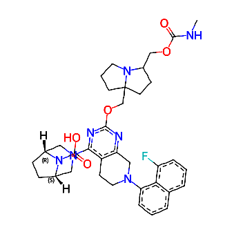 CNC(=O)OCC1CCC2(COc3nc4c(c(N5C[C@H]6CC[C@@H](C5)N6C(=O)O)n3)CCN(c3cccc5cccc(F)c35)C4)CCCN12